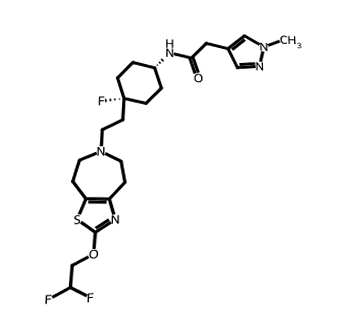 Cn1cc(CC(=O)N[C@H]2CC[C@](F)(CCN3CCc4nc(OCC(F)F)sc4CC3)CC2)cn1